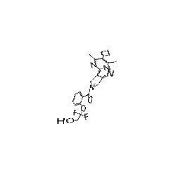 Cc1nc2c3c(nn2c(C)c1Cl)CN(C(=O)c1ccccc1OC(F)(F)CO)C3